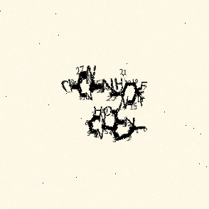 Cc1ccc(-c2ncccn2)c(C(O)N2CC(F)(F)C[C@@H](C)C2CNc2ncc(Cl)cn2)n1